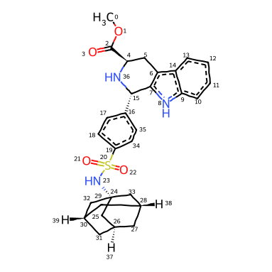 COC(=O)[C@H]1Cc2c([nH]c3ccccc23)[C@H](c2ccc(S(=O)(=O)N[C@]34C[C@H]5C[C@H](C[C@H](C5)C3)C4)cc2)N1